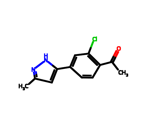 CC(=O)c1ccc(-c2cc(C)n[nH]2)cc1Cl